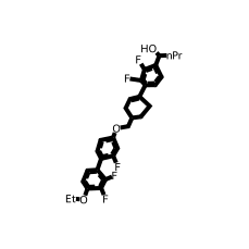 CCCC(O)c1ccc(C2=CCC(COc3ccc(-c4ccc(OCC)c(F)c4F)c(F)c3)CC2)c(F)c1F